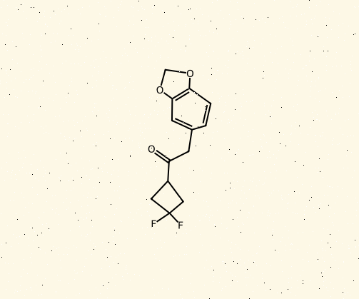 O=C(Cc1ccc2c(c1)OCO2)C1CC(F)(F)C1